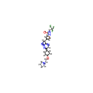 O=C(NCC(F)(F)F)c1cc(-c2cnn3nc(-c4ccc(OCCN5CCCC5)cc4)cnc23)cs1